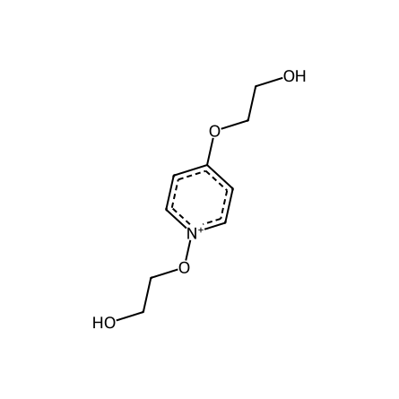 OCCOc1cc[n+](OCCO)cc1